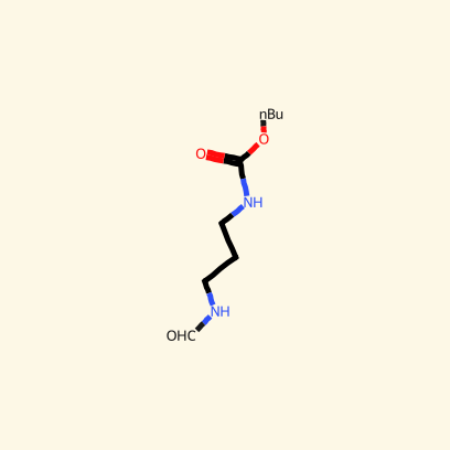 CCCCOC(=O)NCCCNC=O